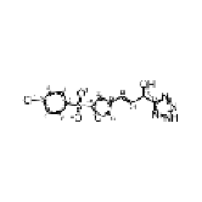 O=S(=O)(c1ccc(Cl)cc1)c1cc(C=CC(O)c2nn[nH]n2)co1